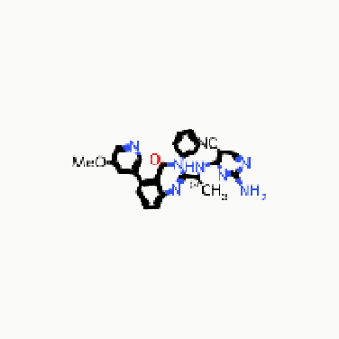 COc1cncc(-c2cccc3nc([C@H](C)Nc4nc(N)ncc4C#N)n(-c4ccccc4)c(=O)c23)c1